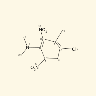 Cc1c(Cl)cc([N+](=O)[O-])c(N(C)C)c1[N+](=O)[O-]